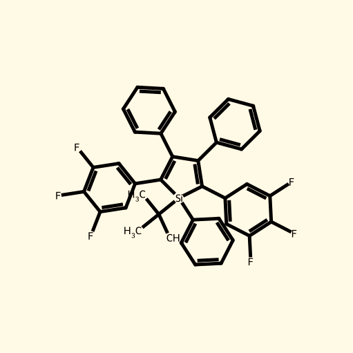 CC(C)(C)[Si]1(c2ccccc2)C(c2cc(F)c(F)c(F)c2)=C(c2ccccc2)C(c2ccccc2)=C1c1cc(F)c(F)c(F)c1